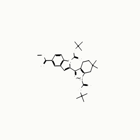 COC(=O)c1ccc2c(c1)cc(-c1nn(C(=O)OC(C)(C)C)c3c1CCC(C)(C)C3)n2C(=O)OC(C)(C)C